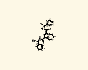 CC[C@@H](NC(=O)c1cc(C(=O)N[C@@H](C)c2cnccn2)n2c1COCC2)c1ccccc1